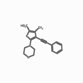 Cc1c(C(=O)O)sc(N2CCOCC2)c1C#Cc1ccccc1